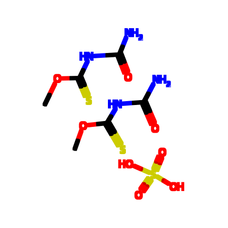 COC(=S)NC(N)=O.COC(=S)NC(N)=O.O=S(=O)(O)O